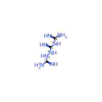 N=C(N)NNC(=N)NC(=N)N